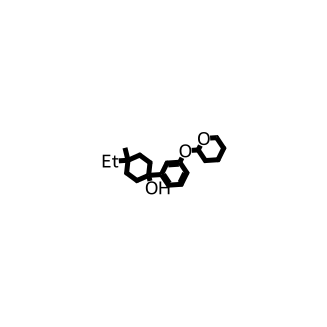 CCC1(C)CCC(O)(c2cccc(OC3CCCCO3)c2)CC1